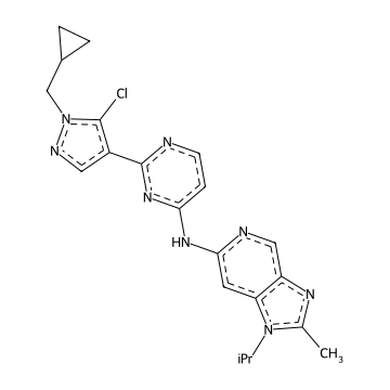 Cc1nc2cnc(Nc3ccnc(-c4cnn(CC5CC5)c4Cl)n3)cc2n1C(C)C